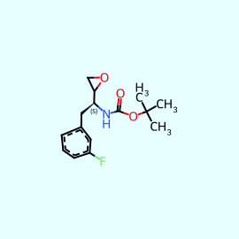 CC(C)(C)OC(=O)N[C@@H](Cc1cccc(F)c1)C1CO1